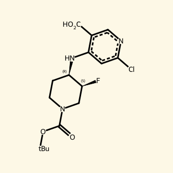 CC(C)(C)OC(=O)N1CC[C@@H](Nc2cc(Cl)ncc2C(=O)O)[C@@H](F)C1